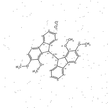 COc1ccc2c(c1OC)[CH]([Ti+2][CH]1c3ccccc3-c3ccc(OC)c(OC)c31)c1ccccc1-2.[Cl-].[Cl-]